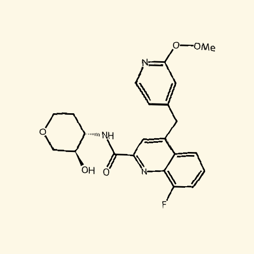 COOc1cc(Cc2cc(C(=O)N[C@H]3CCOC[C@@H]3O)nc3c(F)cccc23)ccn1